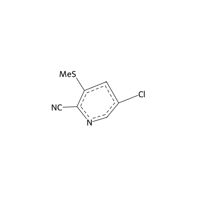 CSc1cc(Cl)cnc1C#N